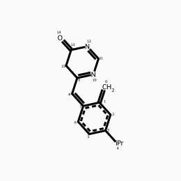 C=c1cc(C(C)C)cc/c1=C/C1=NC=NC(=O)C1